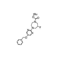 CC(C)(C)OC(=O)N1CCN(c2ncc(OCc3ccccc3)cn2)CC(F)C1